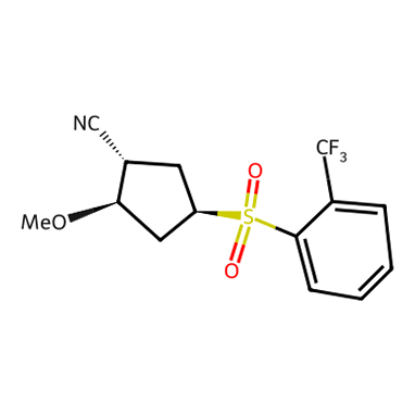 CO[C@@H]1C[C@H](S(=O)(=O)c2ccccc2C(F)(F)F)C[C@H]1C#N